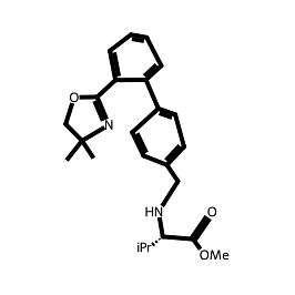 COC(=O)[C@@H](NCc1ccc(-c2ccccc2C2=NC(C)(C)CO2)cc1)C(C)C